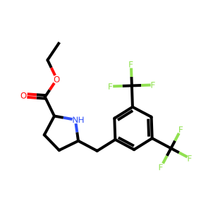 CCOC(=O)C1CCC(Cc2cc(C(F)(F)F)cc(C(F)(F)F)c2)N1